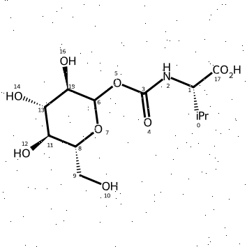 CC(C)[C@H](NC(=O)OC1O[C@H](CO)[C@@H](O)[C@H](O)[C@H]1O)C(=O)O